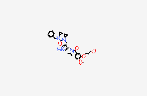 COCCCOc1cc(C(=O)N(C[C@@H]2CNC[C@H]2CN(C(=O)N(Cc2ccccc2)C2CC2)C2CC2)C(C)C)ccc1OC